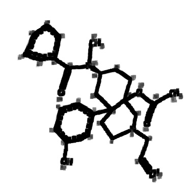 C=CCN1CCC2(c3cccc(O)c3)C[C@@H](N(C)C(=O)c3ccccc3)CCC2(OC(C)=O)C1